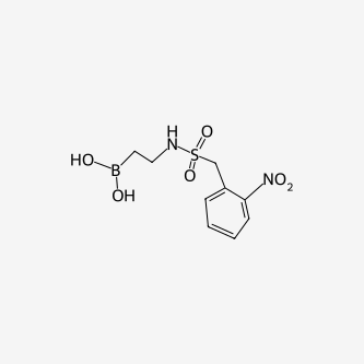 O=[N+]([O-])c1ccccc1CS(=O)(=O)NCCB(O)O